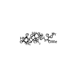 C#C[C@]1(C)[C@@H]2O[P@](=O)(OCC[C@@H](OC)C(=O)OC(C)C)OC[C@H]2O[C@H]1n1ccc(=O)[nH]c1=O